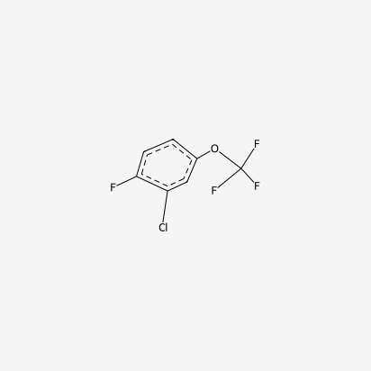 Fc1ccc(OC(F)(F)F)cc1Cl